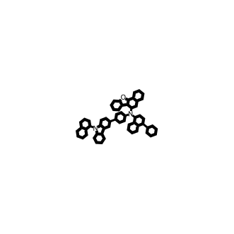 c1ccc(-c2ccc(N(c3ccc(-c4ccc5c(c4)c4ccccc4n5-c4cccc5ccccc45)cc3)c3cc4ccccc4c4oc5ccccc5c34)c3ccccc23)cc1